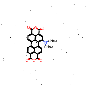 CCCCCCN(CCCCCC)c1cc2c3c(ccc4c5ccc6c7c(ccc(c1c34)c75)C(=O)OC6=O)C(=O)OC2=O